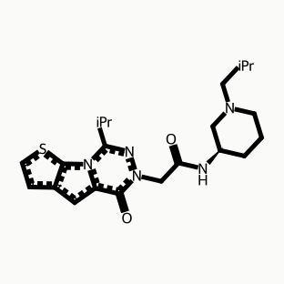 CC(C)CN1CCC[C@@H](NC(=O)Cn2nc(C(C)C)n3c(cc4ccsc43)c2=O)C1